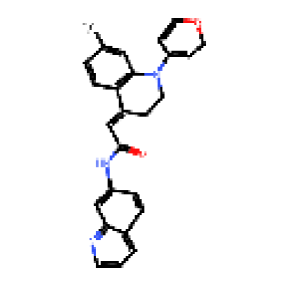 O=C(C=C1CCN(C2=CCOC=C2)c2cc(C(F)(F)F)ccc21)Nc1ccc2cccnc2c1